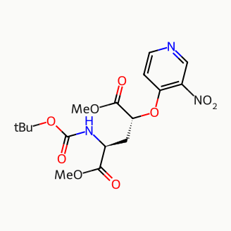 COC(=O)[C@H](C[C@@H](Oc1ccncc1[N+](=O)[O-])C(=O)OC)NC(=O)OC(C)(C)C